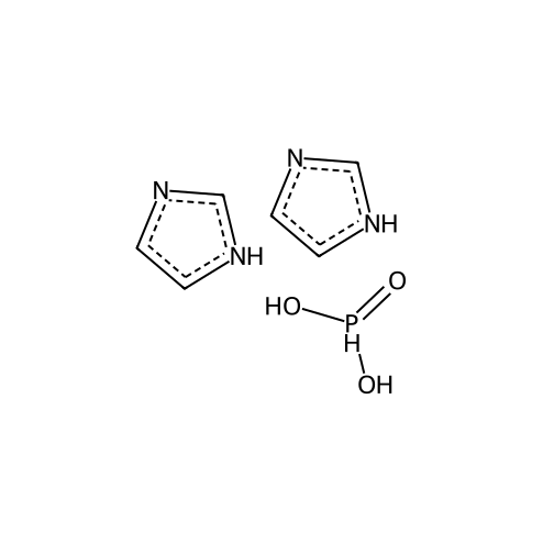 O=[PH](O)O.c1c[nH]cn1.c1c[nH]cn1